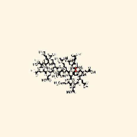 CSCC[C@H](NC(=O)[C@H](CCCCN)NC(=O)[C@H](CCCNC(=N)N)NC(=O)[C@@H](NC(=O)[C@H](CCCNC(=N)N)NC(=O)[C@H](CCC(=O)O)NC(=O)[C@H](CCC(=O)O)NC(=O)[C@@H](NC(=O)[C@@H](N)CCCCN)[C@@H](C)O)[C@@H](C)O)C(=O)N[C@@H](CCC(=O)O)C(=O)N[C@@H](CCC(=O)O)C(=O)N[C@@H](CCC(=O)O)C(=O)N1CCC[C@H]1C(=O)N[C@@H](CC(C)C)C(=O)NCC(=O)O